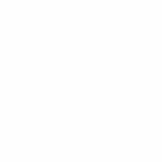 Cc1cc(F)ccc1Oc1cc(C(F)(F)F)ccc1C(=O)CBr